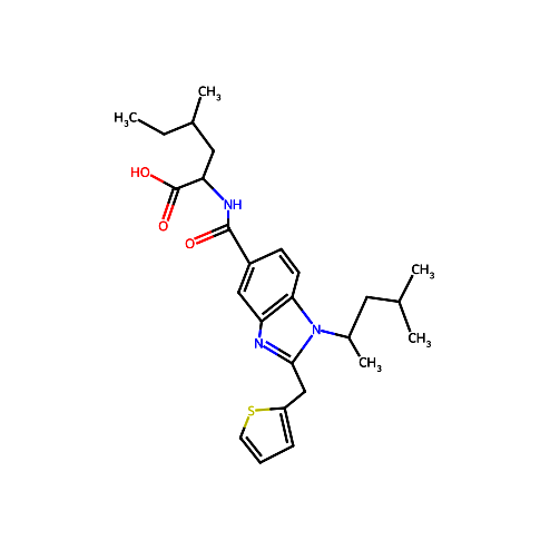 CCC(C)CC(NC(=O)c1ccc2c(c1)nc(Cc1cccs1)n2C(C)CC(C)C)C(=O)O